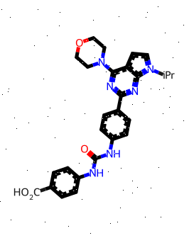 CC(C)n1ccc2c(N3CCOCC3)nc(-c3ccc(NC(=O)Nc4ccc(C(=O)O)cc4)cc3)nc21